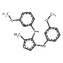 COc1cccc(Pc2csc(C)c2Pc2cccc(OC)c2)c1